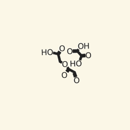 O=C(O)C(=O)O.O=CC(=O)OCC(=O)O